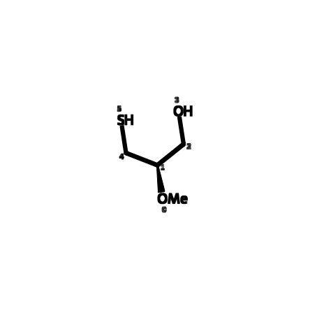 CO[C@H](CO)CS